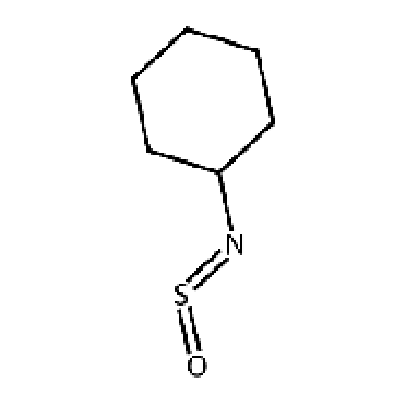 O=S=NC1CCCCC1